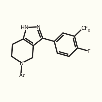 CC(=O)N1CCc2[nH]nc(-c3ccc(F)c(C(F)(F)F)c3)c2C1